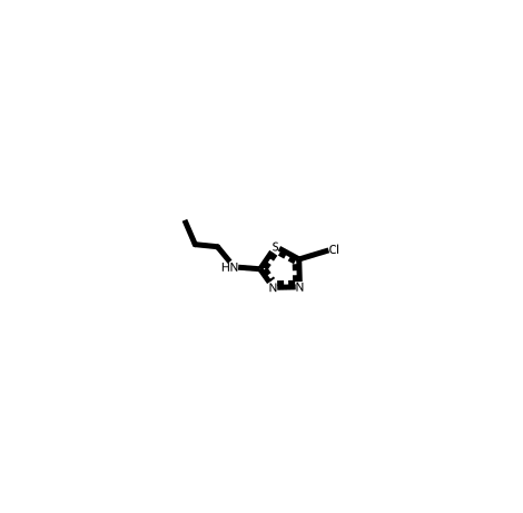 CCCNc1nnc(Cl)s1